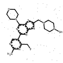 Nc1ncc(-c2nc(N3CCOCC3)c3sc(CN4CCN(S)CC4)nc3n2)c(CF)n1